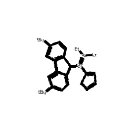 CC[Si](CC)=[Zr]([C]1=CC=CC1)[CH]1c2ccc(C(C)(C)C)cc2-c2cc(C(C)(C)C)ccc21